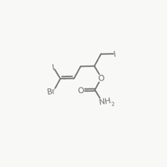 NC(=O)OC(CI)CC=C(Br)I